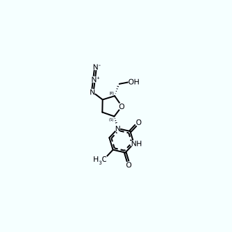 Cc1cn([C@@H]2CC(N=[N+]=[N-])[C@H](CO)O2)c(=O)[nH]c1=O